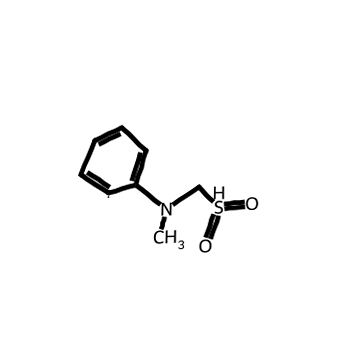 CN(C[SH](=O)=O)c1[c]cccc1